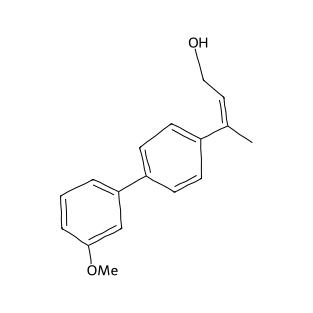 COc1cccc(-c2ccc(/C(C)=C\CO)cc2)c1